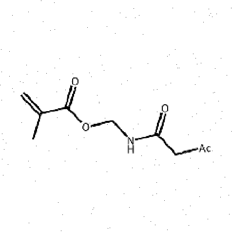 C=C(C)C(=O)OCNC(=O)CC(C)=O